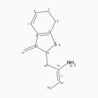 C=C1C2=C(CCC=C2)SC1C/C(N)=C\C